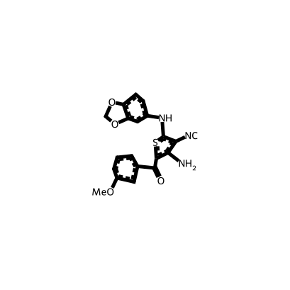 [C-]#[N+]c1c(Nc2ccc3c(c2)OCO3)sc(C(=O)c2cccc(OC)c2)c1N